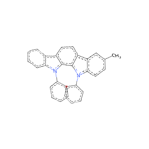 Cc1ccc2c(c1)c1ccc3c4ccccc4n(-c4ccccc4)c3c1n2-c1ccccc1